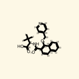 CC(C)(C)[C@H](NC(=O)c1ccc2ccccc2c1OCc1ccncc1)C(=O)O